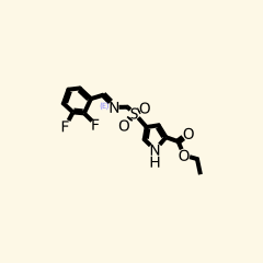 CCOC(=O)c1cc(S(=O)(=O)C/N=C/c2cccc(F)c2F)c[nH]1